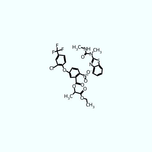 CCOC(=O)C(C)OC(=O)c1cc(Oc2ccc(C(F)(F)F)cc2Cl)ccc1[N+](=O)[O-].CNC(=O)N(C)c1nc2ccccc2s1